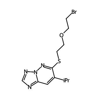 CC(C)c1cc2ncnn2nc1SCCOCCBr